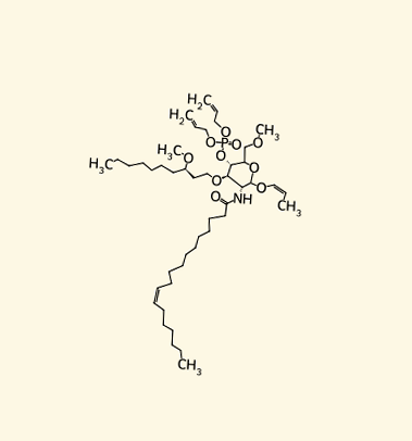 C=CCOP(=O)(OCC=C)O[C@@H]1C(COC)OC(O/C=C\C)[C@H](NC(=O)CCCCCCCCC/C=C\CCCCCC)[C@H]1OCC[C@@H](CCCCCCC)OC